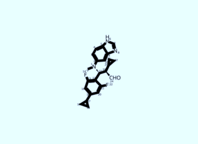 CN(c1ccc2[nH]cnc2c1)[C@@H](c1c(F)cc(C2CC2)cc1F)[C@H](C=O)C1CC1